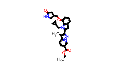 CCOC(=O)c1ccc2c(C)c(-c3cc4cccc(OCC5CNC(=O)C5)c4n3CC3CC3)nn2c1